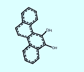 Oc1c(O)c2c3ccccc3ccc2c2ccccc12